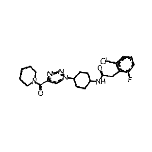 O=C(Cc1c(F)cccc1Cl)NC1CCC(n2cc(C(=O)N3CCCCC3)nn2)CC1